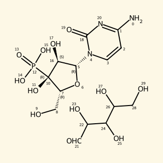 Nc1ccn([C@@H]2O[C@H](CO)[C@](O)(P(=O)(O)O)[C@H]2O)c(=O)n1.O=CC(O)C(O)C(O)CO